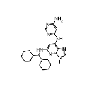 Cn1cnc2c(Nc3cc(N)ncn3)cc(NC(C3CCCCC3)C3CCCCC3)nc21